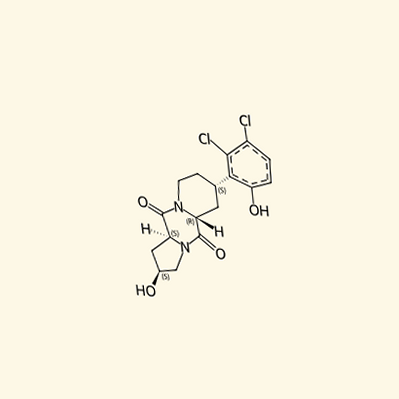 O=C1[C@@H]2C[C@H](O)CN2C(=O)[C@H]2C[C@@H](c3c(O)ccc(Cl)c3Cl)CCN12